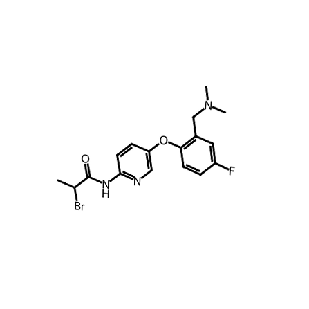 CC(Br)C(=O)Nc1ccc(Oc2ccc(F)cc2CN(C)C)cn1